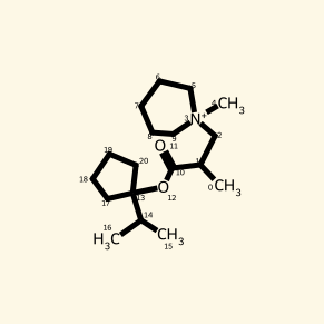 CC(C[N+]1(C)CCCCC1)C(=O)OC1(C(C)C)CCCC1